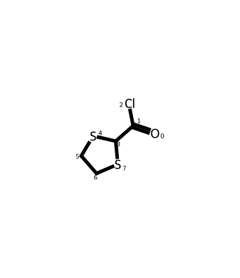 O=C(Cl)C1SCCS1